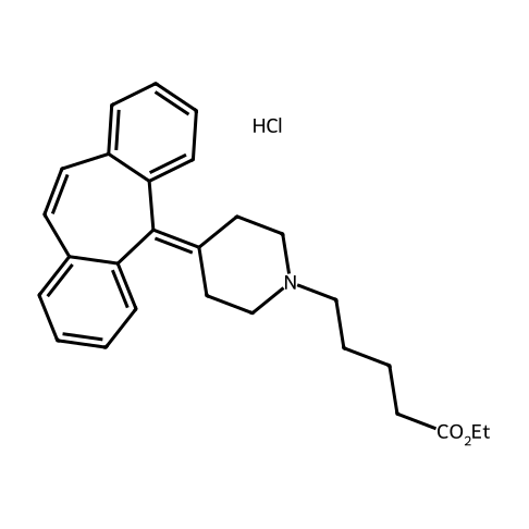 CCOC(=O)CCCCN1CCC(=C2c3ccccc3C=Cc3ccccc32)CC1.Cl